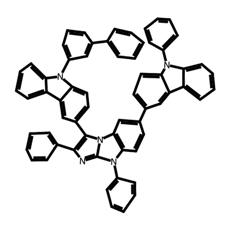 c1ccc(-c2cccc(-n3c4ccccc4c4cc(-c5c(-c6ccccc6)nc6n(-c7ccccc7)c7ccc(-c8ccc9c(c8)c8ccccc8n9-c8ccccc8)cc7n56)ccc43)c2)cc1